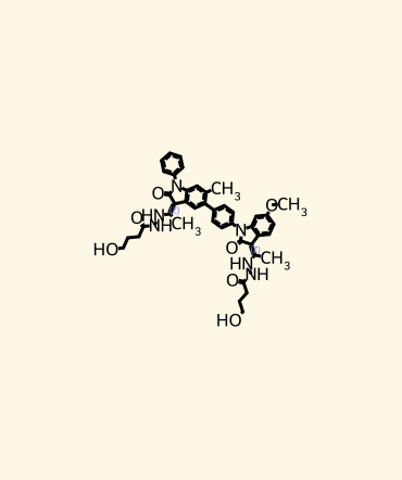 COc1ccc2c(c1)N(c1ccc(-c3cc4c(cc3C)N(c3ccccc3)C(=O)/C4=C(/C)NNC(=O)CCCO)cc1)C(=O)/C2=C(/C)NNC(=O)CCCO